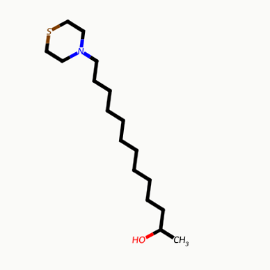 CC(O)CCCCCCCCCCCN1CCSCC1